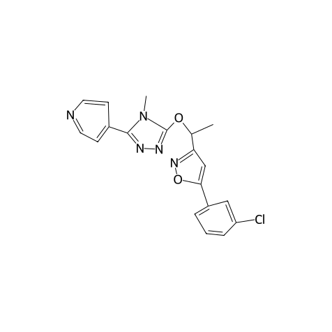 CC(Oc1nnc(-c2ccncc2)n1C)c1cc(-c2cccc(Cl)c2)on1